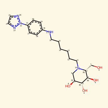 OC[C@@H]1[C@@H](O)[C@H](O)[C@@H](O)CN1CCCCCCNc1ccc(-n2nccn2)cc1